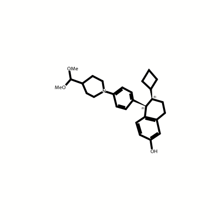 COC(OC)C1CCN(c2ccc([C@@H]3c4ccc(O)cc4CC[C@@H]3C3CCC3)cc2)CC1